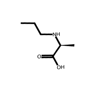 CCCN[C@@H](C)C(=O)O